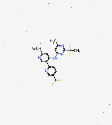 CC(=O)Nc1cc(Nc2cc(C)nc(C(C)(F)F)n2)c(-c2ccc(C(F)F)cn2)cn1